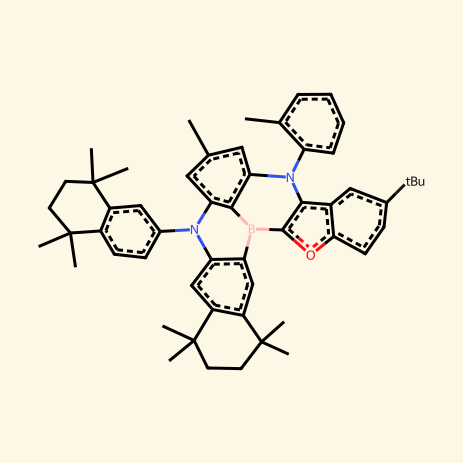 Cc1cc2c3c(c1)N(c1ccccc1C)c1c(oc4ccc(C(C)(C)C)cc14)B3c1cc3c(cc1N2c1ccc2c(c1)C(C)(C)CCC2(C)C)C(C)(C)CCC3(C)C